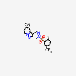 Cc1ccc(C(F)(F)F)cc1S(=O)(=O)N(C)/N=C\c1cnn2ccc(C#N)cc12